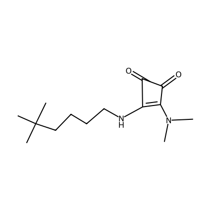 CN(C)c1c(NCCCCC(C)(C)C)c(=O)c1=O